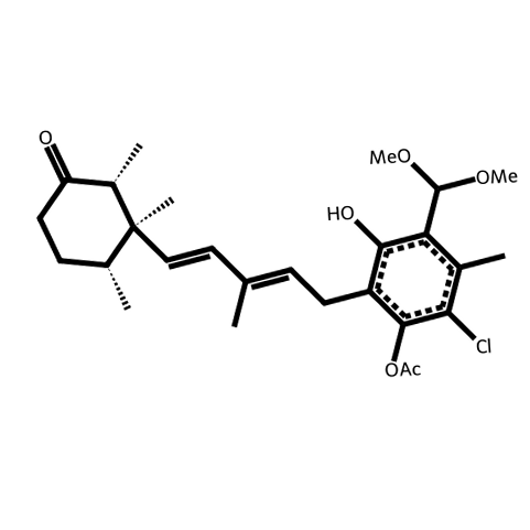 COC(OC)c1c(C)c(Cl)c(OC(C)=O)c(C/C=C(C)/C=C/[C@@]2(C)[C@H](C)CCC(=O)[C@@H]2C)c1O